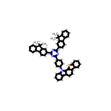 CC1(C)c2ccccc2-c2ccc(-c3nc(-c4ccc(-n5c6ccccc6c6ccc7c8ccccc8sc7c65)cc4)nc(-c4ccc5c(c4)C(C)(C)c4ccccc4-5)n3)cc21